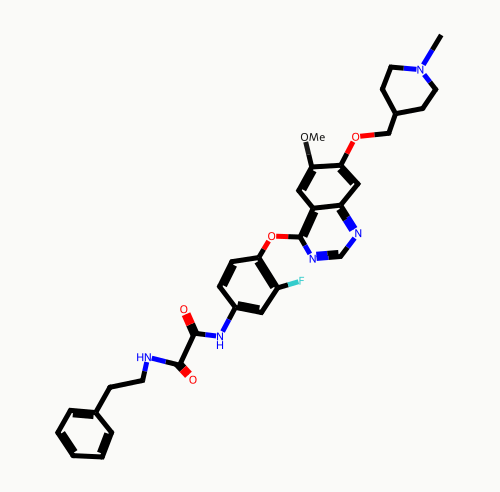 COc1cc2c(Oc3ccc(NC(=O)C(=O)NCCc4ccccc4)cc3F)ncnc2cc1OCC1CCN(C)CC1